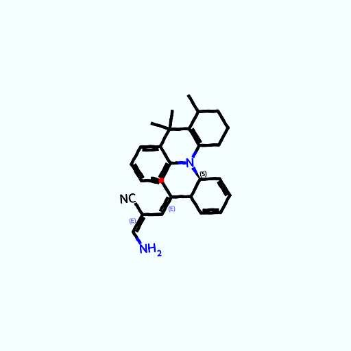 C=C/C(=C\C(C#N)=C/N)C1C=CC=C[C@@H]1N1C2=C(C(C)CCC2)C(C)(C)c2ccccc21